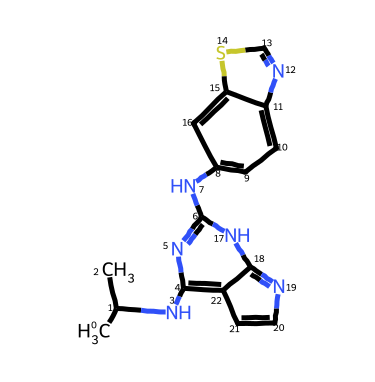 CC(C)Nc1nc(Nc2ccc3ncsc3c2)[nH]c2nccc1-2